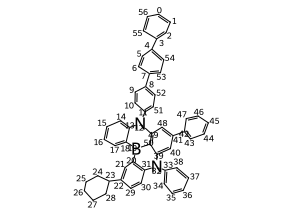 c1ccc(-c2ccc(-c3ccc(N4c5ccccc5B5c6cc(C7CCCCC7)ccc6N(c6ccccc6)c6cc(-c7ccccc7)cc4c65)cc3)cc2)cc1